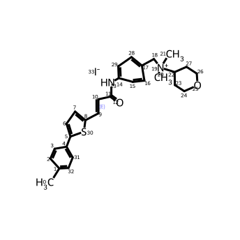 Cc1ccc(-c2ccc(/C=C/C(=O)Nc3ccc(C[N+](C)(C)C4CCOCC4)cc3)s2)cc1.[I-]